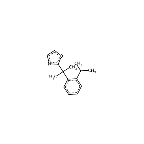 CC(C)c1ccccc1C(C)(C)c1ncco1